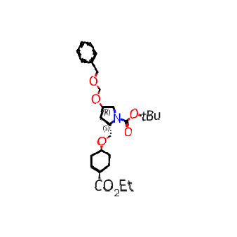 CCOC(=O)[C@H]1CC[C@@H](OC[C@@H]2C[C@@H](OCOCc3ccccc3)CN2C(=O)OC(C)(C)C)CC1